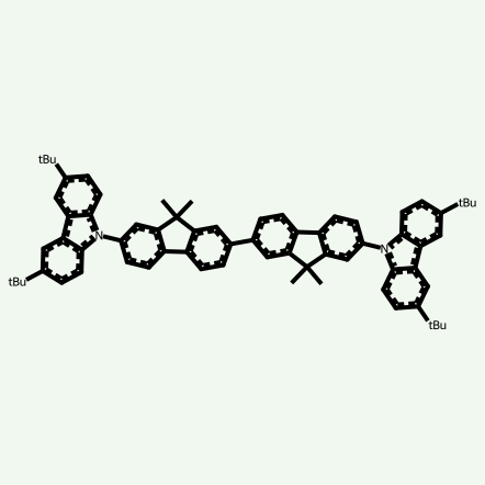 CC(C)(C)c1ccc2c(c1)c1cc(C(C)(C)C)ccc1n2-c1ccc2c(c1)C(C)(C)c1cc(-c3ccc4c(c3)C(C)(C)c3cc(-n5c6ccc(C(C)(C)C)cc6c6cc(C(C)(C)C)ccc65)ccc3-4)ccc1-2